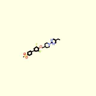 CCc1cnc(N2CCC(COc3c(F)cc(-c4ccc(S(C)(=O)=O)cc4)cc3F)CC2)nc1